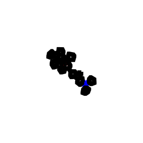 CC1(C)c2cc(-c3cc4c5ccccc5c(-c5cccc6c5C(c5ccccc5)(c5ccccc5)c5ccccc5-6)cc4c4ccccc34)ccc2-c2ccc(N(c3ccccc3)c3ccccc3)cc21